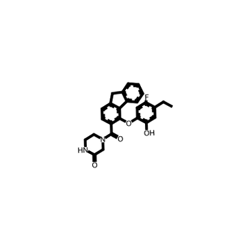 CCc1cc(O)c(Oc2c(C(=O)N3CCNC(=O)C3)ccc3c2-c2ccccc2C3)cc1F